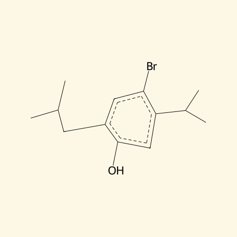 CC(C)Cc1cc(Br)c(C(C)C)cc1O